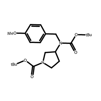 COc1ccc(CN(C(=O)OC(C)(C)C)C2CCN(C(=O)OC(C)(C)C)C2)cc1